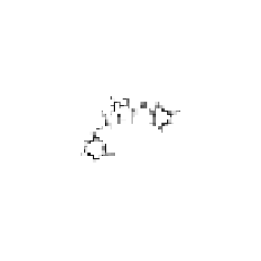 S=P(S)(OCCc1ccccc1)OCCc1ccccc1